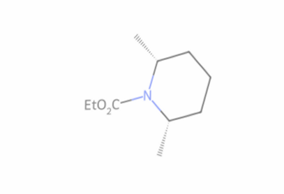 CCOC(=O)N1[C@H](C)CCC[C@@H]1C